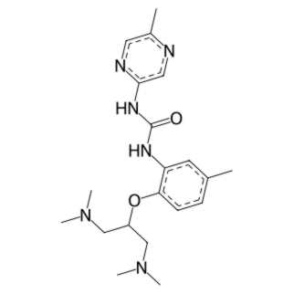 Cc1ccc(OC(CN(C)C)CN(C)C)c(NC(=O)Nc2cnc(C)cn2)c1